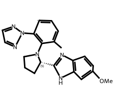 COc1ccc2nc([C@@H]3CCCN3c3c(-n4nccn4)[c]ccc3C)[nH]c2c1